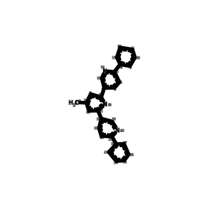 Cc1cc(-c2ccc(-c3ccccc3)nc2)nc(-c2ccc(-c3ccccc3)nc2)c1